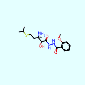 COc1ccccc1C(=O)NNC(=O)C(O)[C@H](N)CCSC(C)C